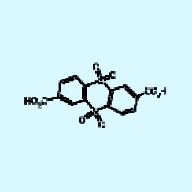 O=C(O)c1ccc2c(c1)S(=O)(=O)c1ccc(C(=O)O)cc1S2(=O)=O